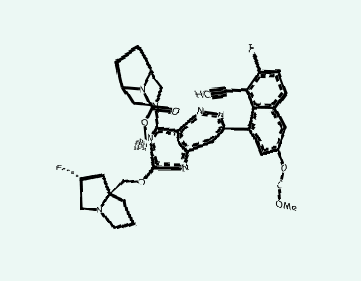 C#Cc1c(F)ccc2cc(OCOC)cc(-c3cc4nc(OC[C@@]56CCCN5C[C@H](F)C6)nc(N5CC6CCC(C5)N6C(=O)OC(C)(C)C)c4nn3)c12